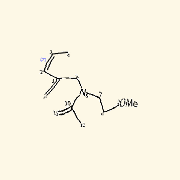 C=C(/C=C\C)CN(CCOC)C(=C)C